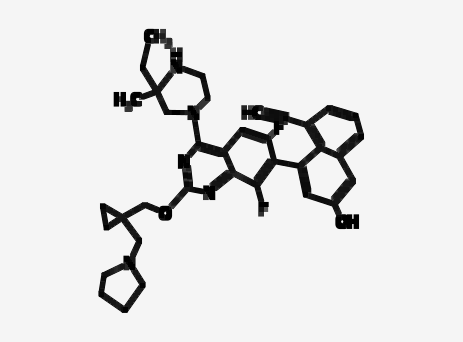 C#Cc1cccc2cc(O)cc(-c3c(F)cc4c(N5CCNC(C)(CC)C5)nc(OCC5(CN6CCCC6)CC5)nc4c3F)c12